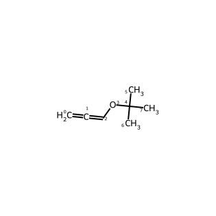 C=C=COC(C)(C)C